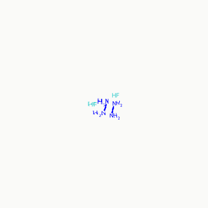 F.F.NN.NN